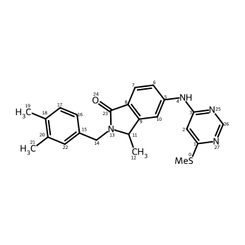 CSc1cc(Nc2ccc3c(c2)C(C)N(Cc2ccc(C)c(C)c2)C3=O)ncn1